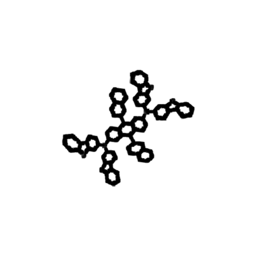 c1ccc2cc(-c3c4ccc(N(c5ccc6c(c5)oc5ccccc56)c5ccc6c(c5)oc5ccccc56)cc4c(-c4ccc5ccccc5c4)c4ccc(N(c5ccc6c(c5)oc5ccccc56)c5ccc6c(c5)oc5ccccc56)cc34)ccc2c1